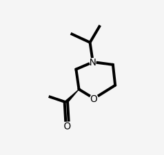 CC(=O)[C@H]1CN(C(C)C)CCO1